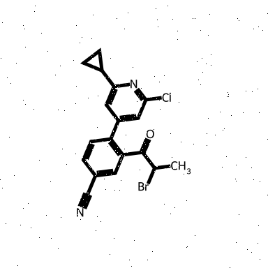 CC(Br)C(=O)c1cc(C#N)ccc1-c1cc(Cl)nc(C2CC2)c1